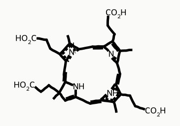 CC1=C(CCC(=O)O)C2=Cc3[nH]c(c(CCC(=O)O)c3C)C=C3NC(=CC3(C)CCC(=O)O)C=c3[nH]c(c(CCC(=O)O)c3C)=CC1=N2